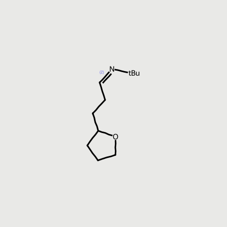 CC(C)(C)/N=C\CCC1CCCO1